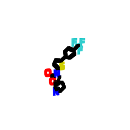 O=C1O[C@]2(CN3CCC2CC3)CN1c1ccc(-c2ccc(C(F)(F)F)cc2)s1